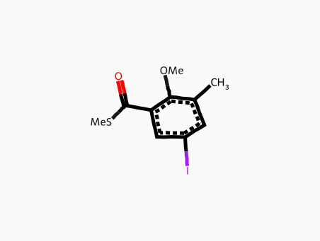 COc1c(C)cc(I)cc1C(=O)SC